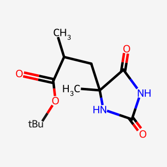 CC(CC1(C)NC(=O)NC1=O)C(=O)OC(C)(C)C